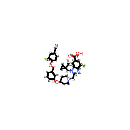 N#Cc1ccc(OCc2cccc(OC3CCN(Cc4nc5c(F)cc(C(=O)O)cc5n4CC4(CF)CC4)CC3)c2)c(F)c1